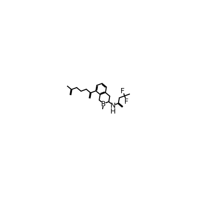 C=C(C)CCCC(=C)c1cccc2c1CB(C)C(NC(=C)CC(C)(F)F)C2